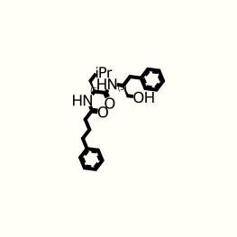 CC(C)C[C@H](NC(=O)CCCc1ccccc1)C(=O)N[C@H](CO)Cc1ccccc1